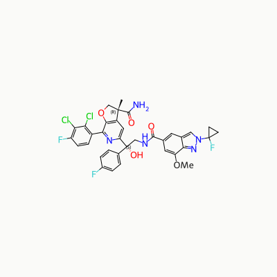 COc1cc(C(=O)NC[C@@](O)(c2ccc(F)cc2)c2cc3c(c(-c4ccc(F)c(Cl)c4Cl)n2)OC[C@]3(C)C(N)=O)cc2cn(C3(F)CC3)nc12